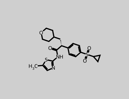 Cc1cnc(NC(=O)[C@H](CC2CCOCC2)c2ccc(S(=O)(=O)C3CC3)cc2)s1